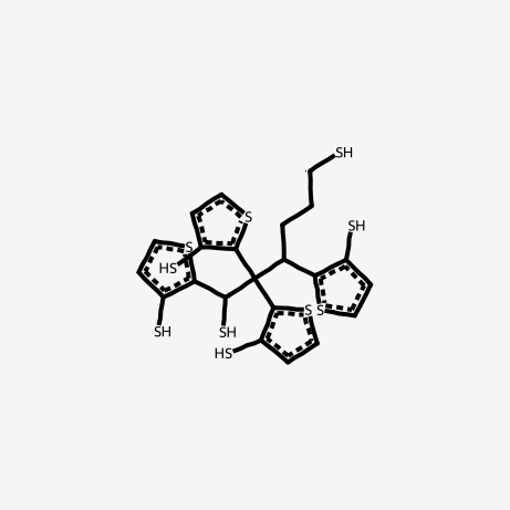 S[CH]CCC(c1sccc1S)C([C](S)c1sccc1S)(c1sccc1S)c1sccc1S